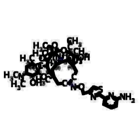 CCC(=O)/N=C1\[C@H](C)C[C@@]2(C)CC/C(=N/OCc3csc(-c4cccc(N)n4)n3)CC[C@H]([C@H]1C)[C@](C)(O)[C@@H](CC)OC(=O)[C@@](C)(F)C(=O)[C@H](C)[C@H]2O[C@@H]1O[C@H](C)C[C@H](N(C)C)[C@H]1O